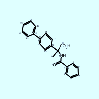 CC(NC(=O)c1ccccc1)(C(=O)O)c1ccc(-c2ccccc2)cc1